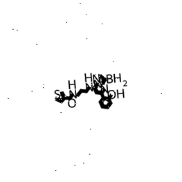 Bc1cnn2c(NCCCNC(=O)c3ccsc3)cc(-c3ccccc3O)nc12